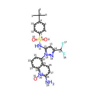 CC(C)(C)c1ccc(S(=O)(=O)Nc2cc(C(F)F)nn2-c2cccc3c2ccc(N)[n+]3[O-])cc1